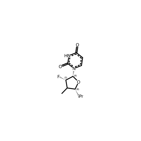 CC(C)[C@H]1O[C@@H](n2ccc(=O)[nH]c2=O)[C@@H](F)C1C